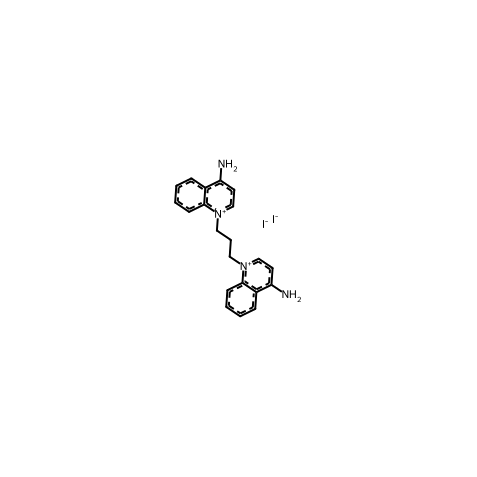 Nc1cc[n+](CCC[n+]2ccc(N)c3ccccc32)c2ccccc12.[I-].[I-]